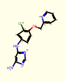 Nc1cc(Nc2ccc(OCc3ccccn3)c(Cl)c2)ncn1